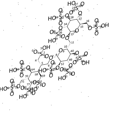 O=S(=O)(O)C[C@H](CO[C@@H]1O[C@H](CO[C@@H]2O[C@H](COS(=O)(=O)O)[C@@H](OS(=O)(=O)O)[C@H](OS(=O)(=O)O)[C@H]2OS(=O)(=O)O)[C@@H](OS(=O)(=O)O)[C@H](OS(=O)(=O)O)[C@H]1OS(=O)(=O)O)[C@@H](CS(=O)(=O)O)[C@H](OS(=O)(=O)O)[C@@H](COS(=O)(=O)O)CS(=O)(=O)O